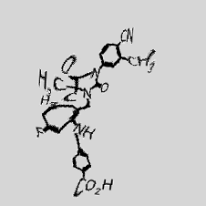 Cc1cc(N2C(=O)N(Cc3ccc(F)cc3Nc3ccc(C(=O)O)cc3)C(C)(C)C2=O)ccc1C#N